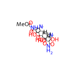 COC(=O)CNC(=O)c1cc(N(C)C)c2c(c1O)C(=O)C1=C(O)[C@]3(O)C(=O)C(C(N)=O)=C(O)[C@@H](N(C)C)[C@@H]3C[C@@H]1C2